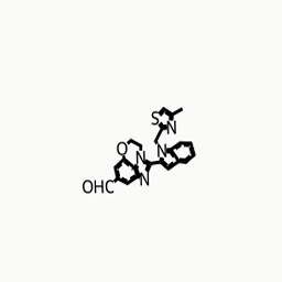 Cc1csc(Cn2c(-c3nc4cc(C=O)cc5c4n3CCO5)cc3ccccc32)n1